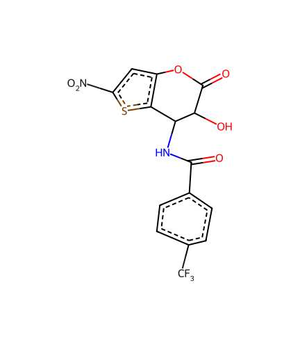 O=C(NC1c2sc([N+](=O)[O-])cc2OC(=O)C1O)c1ccc(C(F)(F)F)cc1